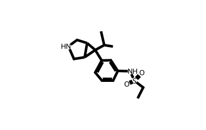 CCS(=O)(=O)Nc1cccc(C2(C(C)C)C3CNCC32)c1